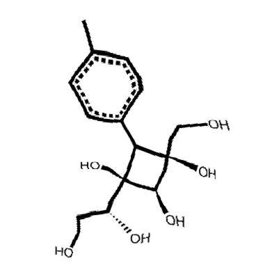 Cc1ccc(C2[C@@](O)([C@H](O)CO)[C@H](O)[C@@]2(O)CO)cc1